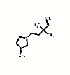 C=CC(C)(C)CCN1CCN(C)C1